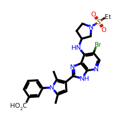 CCS(=O)(=O)N1CCC(Nc2c(Br)cnc3[nH]c(-c4cc(C)n(-c5cccc(C(=O)O)c5)c4C)nc23)C1